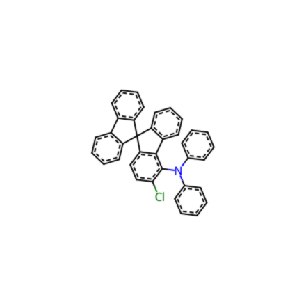 Clc1ccc2c(c1N(c1ccccc1)c1ccccc1)-c1ccccc1C21c2ccccc2-c2ccccc21